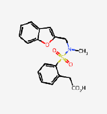 CN(Cc1cc2ccccc2o1)S(=O)(=O)c1ccccc1CC(=O)O